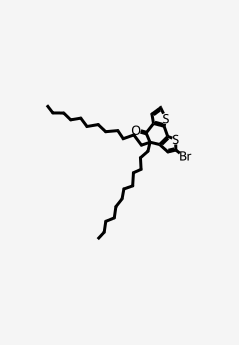 CCCCCCCCCCCCC1(CCCCCCCCCCCC)C(=O)c2ccsc2-c2sc(Br)cc21